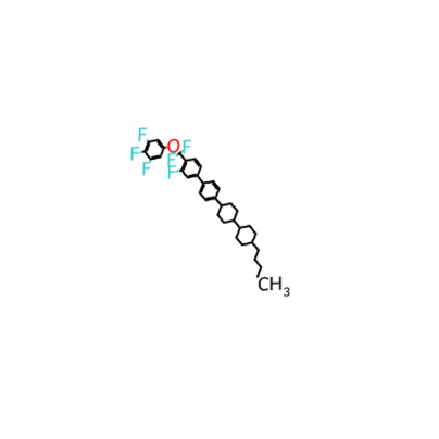 CCCCCC1CCC(C2CCC(c3ccc(-c4ccc(C(F)(F)Oc5cc(F)c(F)c(F)c5)c(F)c4)cc3)CC2)CC1